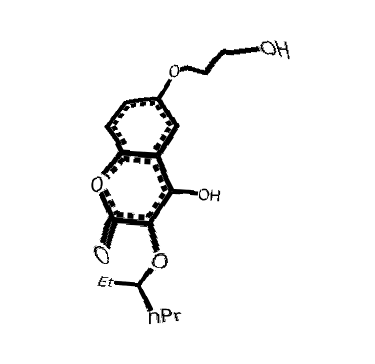 CCCC(CC)Oc1c(O)c2cc(OCCO)ccc2oc1=O